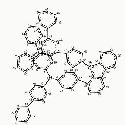 c1ccc(-c2ccc(N(c3ccc(-c4ccccc4)cc3)c3ccc(-c4cccc5c6ccccc6n(-c6ccc(-c7nc(-c8ccccc8)nc(-c8ccccc8)n7)cc6)c45)cc3)cc2)cc1